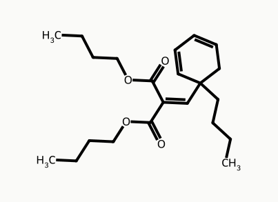 CCCCOC(=O)C(=CC1(CCCC)C=CC=CC1)C(=O)OCCCC